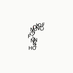 Cc1nc2cc(F)c(-c3cnc(N4CC(C)(O)C4)nc3)cn2c1CN1C(=O)[C@@H](C)Oc2c(F)cccc21